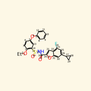 CCOc1ccc(Oc2ccccc2)cc1[S+]([O-])NC(=O)c1cc2c(F)cc(C3CC3)cc2o1